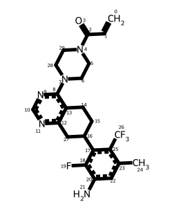 C=CC(=O)N1CCN(c2ncnc3c2CCC(c2c(F)c(N)cc(C)c2C(F)(F)F)C3)CC1